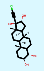 C[C@]12CC[C@@H](O)[C@@H](O)C1CC[C@@H]1[C@@H]2CC[C@@]2(C)[C@H]1C[C@@H](O)[C@@]2(O)C#CCl